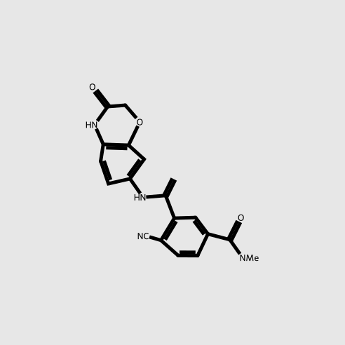 C=C(Nc1ccc2c(c1)OCC(=O)N2)c1cc(C(=O)NC)ccc1C#N